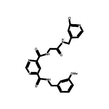 COc1cccc(CNC(=O)c2cc(C(=O)NCC(=O)NCc3ccnc(Cl)c3)ncn2)c1